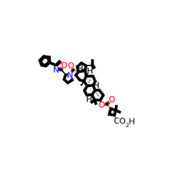 C=C(C)[C@@H]1CC[C@]2(C(=O)N3CCC[C@H]3c3nc(-c4ccccc4)co3)CC[C@]3(C)[C@H](CC[C@@H]4[C@@]5(C)CC[C@H](OC(=O)[C@H]6C[C@@H](C(=O)O)C6(C)C)C(C)(C)[C@@H]5CC[C@]43C)[C@@H]12